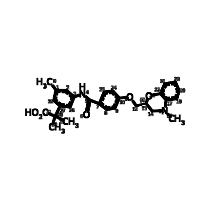 Cc1cc(NC(=O)c2ccc(OC[C@@H]3CN(C)c4ccccc4O3)cc2)cc(C(C)(C)C(=O)O)c1